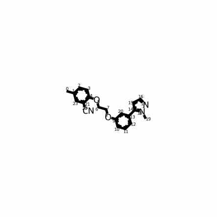 Cc1ccc(OCCOc2cccc(-c3ccnn3C)c2)c(C#N)c1